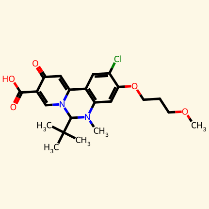 COCCCOc1cc2c(cc1Cl)-c1cc(=O)c(C(=O)O)cn1C(C(C)(C)C)N2C